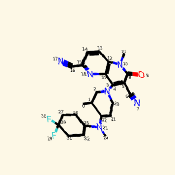 CC1CN(c2c(C#N)c(=O)n(C)c3ccc(C#N)nc23)CCC1N(C)C1CCC(F)(F)CC1